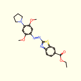 CCOC(=O)c1ccc2nc(/N=N/c3cc(OC)c(N4CCCC4)cc3OC)sc2c1